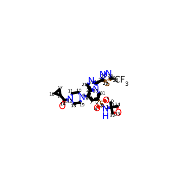 CC1(NS(=O)(=O)c2cc(N3CCN(C(=O)C4CC4)CC3)c3cnc(-c4nnc(C(F)(F)F)s4)n3c2)COC1